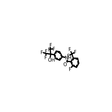 O=C(Nc1ccc(C(O)(C(F)(F)F)C(F)(F)F)cc1)c1c(F)cccc1C(F)(F)F